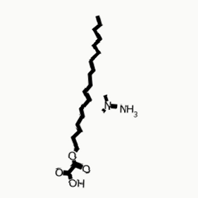 CCCCCCCCCCCCCCCCCCOC(=O)C(=O)O.CN(C)C.N